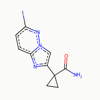 NC(=O)C1(c2cn3nc(I)ccc3n2)CC1